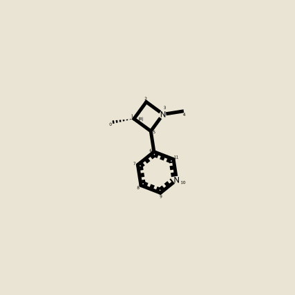 C[C@@H]1CN(C)C1c1cccnc1